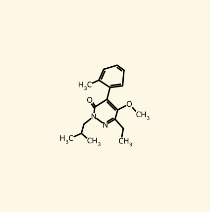 CCc1nn(CC(C)C)c(=O)c(-c2ccccc2C)c1OC